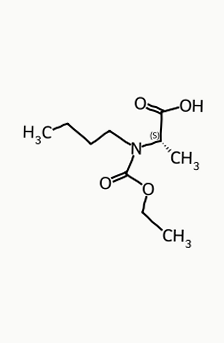 CCCCN(C(=O)OCC)[C@@H](C)C(=O)O